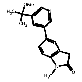 COC(C)(C)c1cncc(-c2ccc3c(c2)CC(=O)N3C)c1